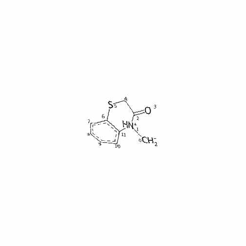 [CH2-][NH+]1C(=O)CSc2ccccc21